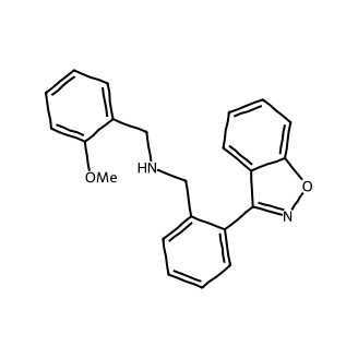 COc1ccccc1CNCc1ccccc1-c1noc2ccccc12